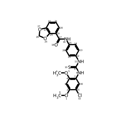 COc1cc(OC)c(NC(=S)Nc2ccc(NC(=O)c3cccc4c3OCO4)cc2)cc1Cl